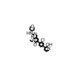 CCn1c(=O)c(-c2ccc(-c3cccnc3O)cc2Cl)cc2cnc(NC3CCOCC3)nc21